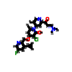 Cc1cnc(C(=O)/C=C/N(C)C)cc1-n1c(C)cc(OCc2ncc(F)cc2C2CC2)c(Cl)c1=O